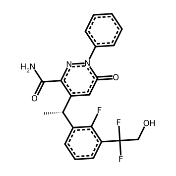 C[C@H](c1cc(=O)n(-c2ccccc2)nc1C(N)=O)c1cccc(C(F)(F)CO)c1F